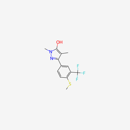 CSc1ccc(-c2nn(C)c(O)c2C)cc1C(F)(F)F